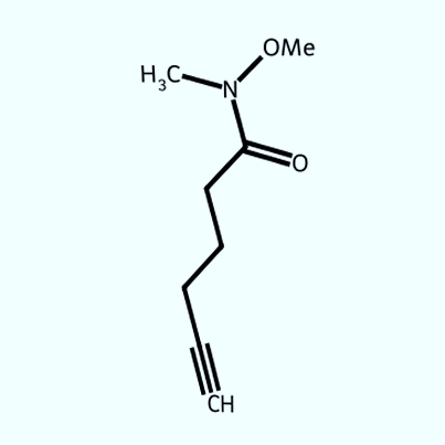 C#CCCCC(=O)N(C)OC